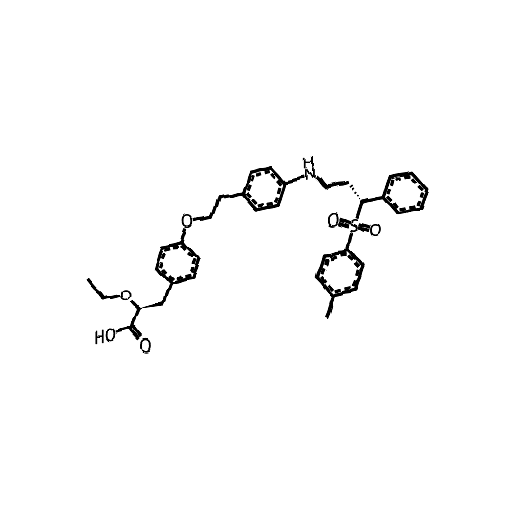 CCO[C@@H](Cc1ccc(OCCc2ccc(NCC[C@H](c3ccccc3)S(=O)(=O)c3ccc(C)cc3)cc2)cc1)C(=O)O